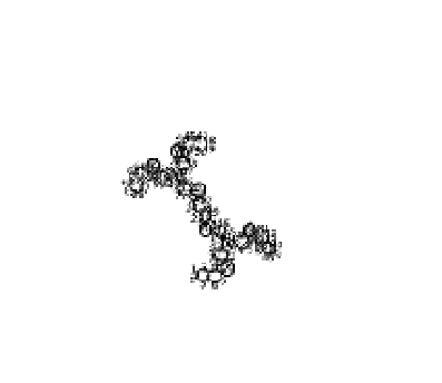 c1ccc2c(c1)ccc1oc3cc(N(c4ccc5c(c4)oc4cc6cc7c(cc6cc45)oc4cc(N(c5ccc6c(c5)oc5ccc8ccccc8c56)c5ccc6c(c5)oc5ccc8ccccc8c56)ccc47)c4ccc5c(c4)oc4ccc6ccccc6c45)ccc3c12